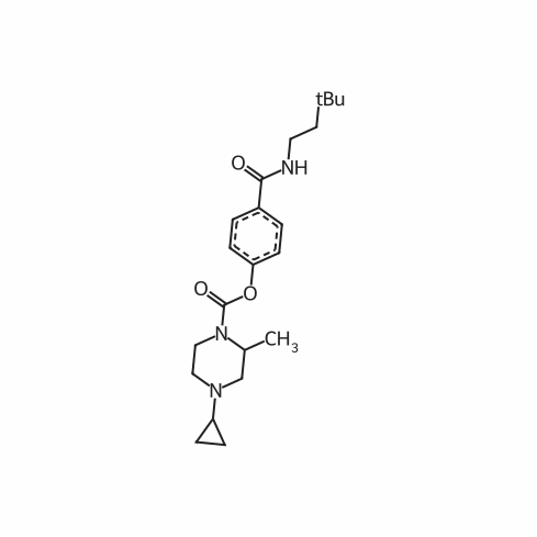 CC1CN(C2CC2)CCN1C(=O)Oc1ccc(C(=O)NCCC(C)(C)C)cc1